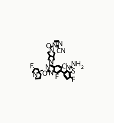 N#Cc1nccn1C(=O)N1CC2CN(c3nc(OC[C@@]45CCCN4C[C@H](F)C5)nc4c(F)c(-c5ccc(F)c6sc(N)nc56)c(Cl)cc34)CC2C1